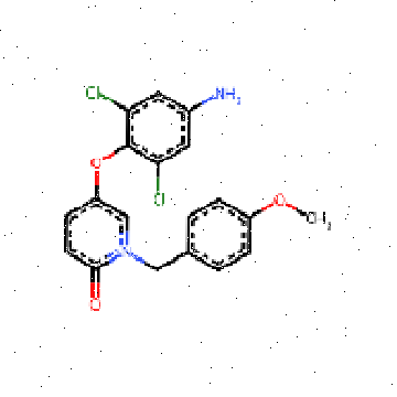 COc1ccc(Cn2cc(Oc3c(Cl)cc(N)cc3Cl)ccc2=O)cc1